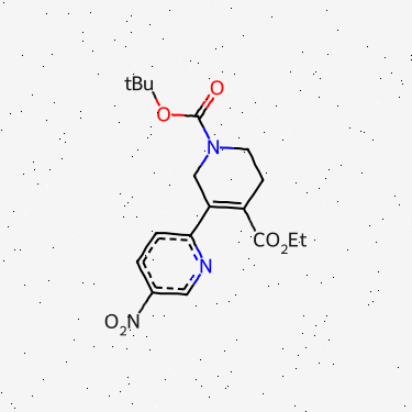 CCOC(=O)C1=C(c2ccc([N+](=O)[O-])cn2)CN(C(=O)OC(C)(C)C)CC1